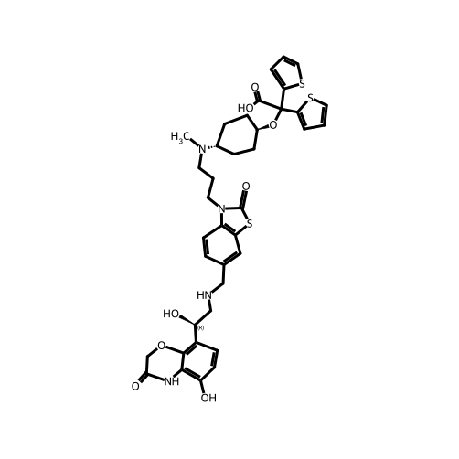 CN(CCCn1c(=O)sc2cc(CNC[C@H](O)c3ccc(O)c4c3OCC(=O)N4)ccc21)[C@H]1CC[C@H](OC(C(=O)O)(c2cccs2)c2cccs2)CC1